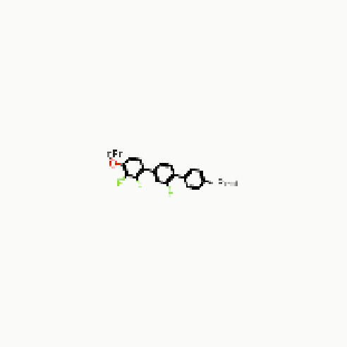 CCCCCc1ccc(-c2ccc(-c3ccc(OCCC)c(F)c3F)cc2F)cc1